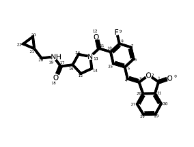 O=C1OC(=Cc2ccc(F)c(C(=O)N3CCC(C(=O)NCC4CC4)C3)c2)c2ccccc21